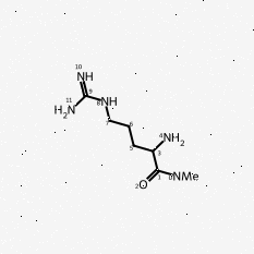 [CH2]NC(=O)C(N)CCCNC(=N)N